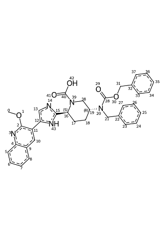 COc1nc2ccccc2cc1-c1cnc([C@@H]2CC[C@@H](N(Cc3ccccc3)C(=O)OCc3ccccc3)CN2C(=O)O)[nH]1